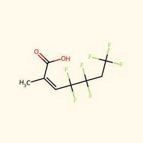 CC(=CC(F)(F)C(F)(F)CC(F)(F)F)C(=O)O